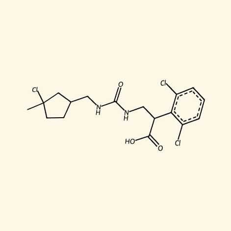 CC1(Cl)CCC(CNC(=O)NCC(C(=O)O)c2c(Cl)cccc2Cl)C1